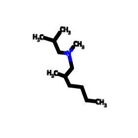 CCCCC(C)CN(C)CC(C)C